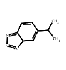 CC(C)C1=CC2N=NN=C2C=C1